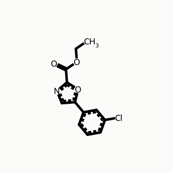 CCOC(=O)c1ncc(-c2cccc(Cl)c2)o1